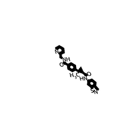 C[C@]1(c2ccc(C(=O)NCc3ccccn3)cc2)CC1C(=O)Nc1ccc2cnsc2c1